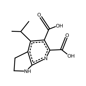 CC(C)c1c2c(nc(C(=O)O)c1C(=O)O)NCC2